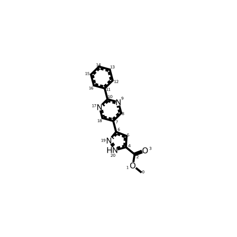 COC(=O)c1cc(-c2cnc(-c3ccccc3)nc2)n[nH]1